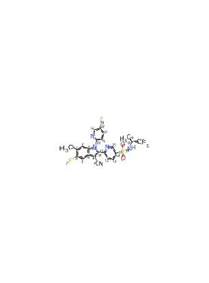 Cc1cc2c(cc1F)c(C#N)c(-c1ccc(S(=O)(=O)N[C@@H](C)C(F)(F)F)cn1)n2-c1ccc(F)cn1